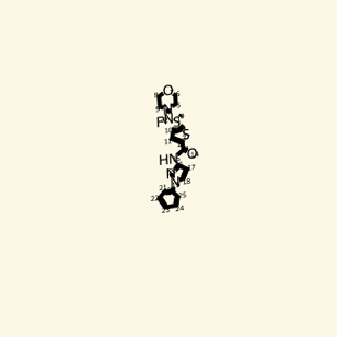 CS1(N(F)N2CCOCC2)c2cc(C(=O)Nc3ccn(-c4ccccc4)n3)sc21